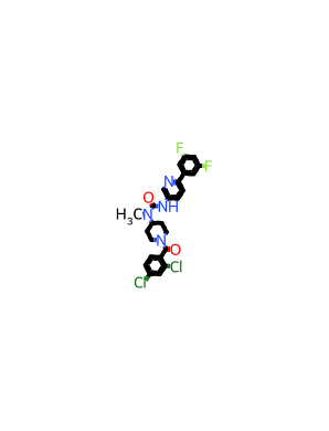 CN(C(=O)Nc1ccc(-c2cc(F)cc(F)c2)nc1)C1CCN(C(=O)c2ccc(Cl)cc2Cl)CC1